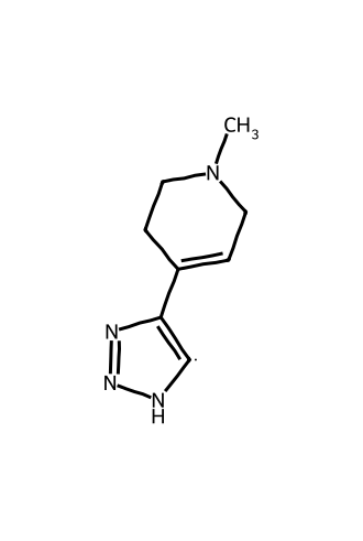 CN1CC=C(c2[c][nH]nn2)CC1